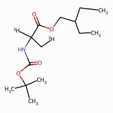 [2H]CC([2H])(NC(=O)OC(C)(C)C)C(=O)OCC(CC)CC